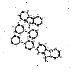 c1ccc(-c2ccccc2)cc1.c1ccc(-c2ccccc2)cc1.c1ccc2c(c1)[nH]c1ccccc12.c1ccc2c(c1)[nH]c1ccccc12